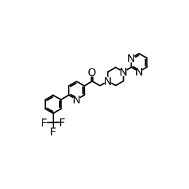 O=C(CN1CCN(c2ncccn2)CC1)c1ccc(-c2cccc(C(F)(F)F)c2)nc1